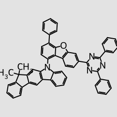 CC1(C)c2ccccc2-c2cc3c4ccccc4n(-c4ccc(-c5ccccc5)c5oc6cc(-c7nc(-c8ccccc8)nc(-c8ccccc8)n7)ccc6c45)c3cc21